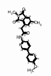 COc1ccc(-c2ccc(NC(=O)Cc3cc(C)cc4c3C(=O)N(C)C4=O)nc2)nc1